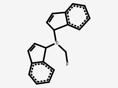 F[CH2][Ti]([CH]1C=Cc2ccccc21)[CH]1C=Cc2ccccc21